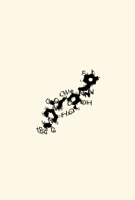 CO[C@@H]1[C@@H](n2cc(-c3cc(F)c(F)c(F)c3)nn2)[C@@H](O)[C@@H](CO)O[C@@H]1CC1CN(C2CCN(C(=O)CC(C)(C)C)CC2)C(=O)O1